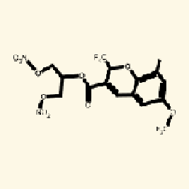 Cc1cc(OC(F)(F)F)cc2c1OC(C(F)(F)F)C(C(=O)OC(CO[N+](=O)[O-])CO[N+](=O)[O-])=C2